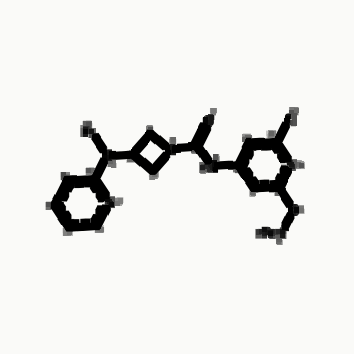 CCCCCOc1cc(NC(=O)N2CC(N(c3ccccn3)C(C)C)C2)cc(Cl)n1